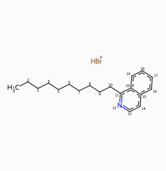 Br.CCCCCCCCCCc1nccc2ccccc12